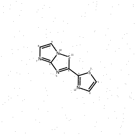 c1csc(-c2nc3nccn3s2)n1